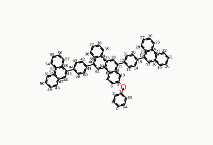 c1ccc(Oc2ccc3c(c2)c(-c2ccc(-c4cc5ccccc5c5ccccc45)cc2)cc2c4ccccc4c(-c4ccc(-c5cc6ccccc6c6ccccc56)cc4)cc32)cc1